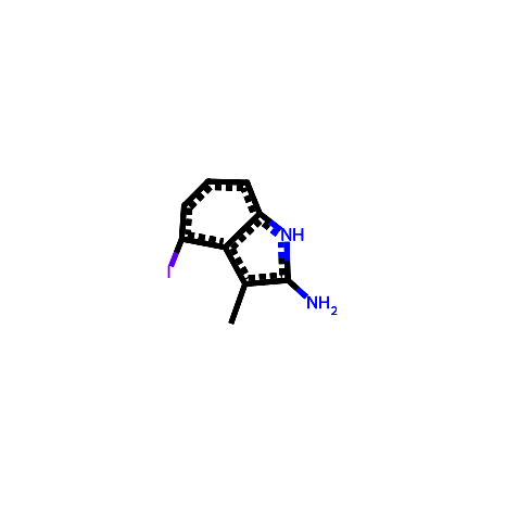 Cc1c(N)[nH]c2cccc(I)c12